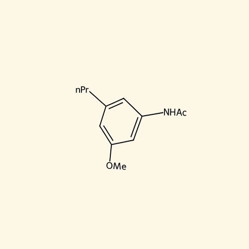 CCCc1cc(NC(C)=O)cc(OC)c1